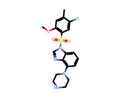 COc1cc(C)c(Cl)cc1S(=O)(=O)n1cnc2c(N3CCNCC3)cccc21